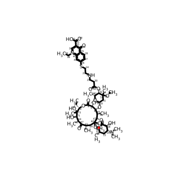 CC[C@@H]1OC(=O)[C@H](C)[C@H](O[C@H]2CC(C)(OC)[C@@H](OC(=O)CCNCCSc3ccc4c(=O)c(C(=O)O)cn(CC)c4c3)[C@@H](C)O2)[C@@H](C)[C@H](OC2O[C@@H](C)C[C@@H](N(C)C)[C@H]2O)C(C)(OC)C[C@H](C)C(=O)[C@H](C)[C@@H](O)C1(C)O